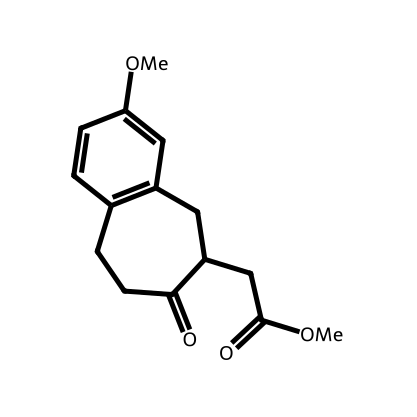 COC(=O)CC1Cc2cc(OC)ccc2CCC1=O